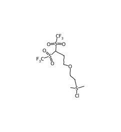 CS(C)(Cl)CCOCCC(S(=O)(=O)C(F)(F)F)S(=O)(=O)C(F)(F)F